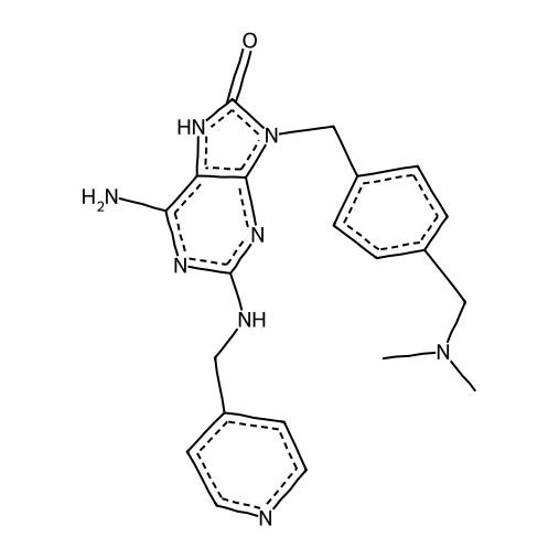 CN(C)Cc1ccc(Cn2c(=O)[nH]c3c(N)nc(NCc4ccncc4)nc32)cc1